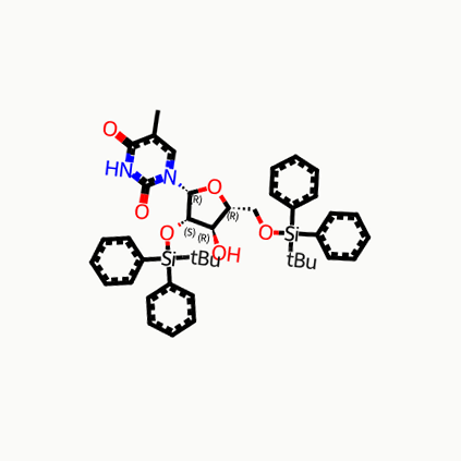 Cc1cn([C@@H]2O[C@H](CO[Si](c3ccccc3)(c3ccccc3)C(C)(C)C)[C@@H](O)[C@@H]2O[Si](c2ccccc2)(c2ccccc2)C(C)(C)C)c(=O)[nH]c1=O